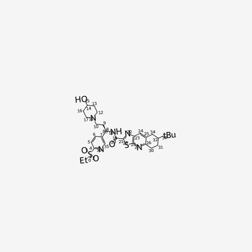 CCS(=O)(=O)c1ccc([C@@H](CCN2CCC(O)CC2)NC(=O)c2nc3cc4c(nc3s2)CCC(C(C)(C)C)C4)cn1